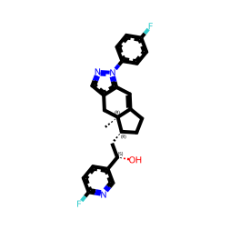 C[C@]12Cc3cnn(-c4ccc(F)cc4)c3C=C1CC[C@@H]2C[C@H](O)c1ccc(F)nc1